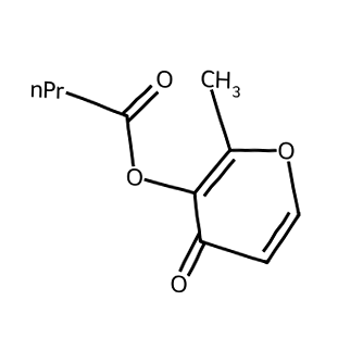 CCCC(=O)Oc1c(C)occc1=O